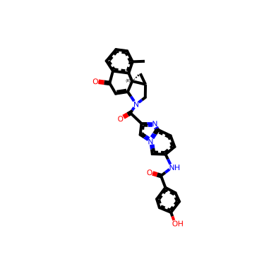 Cc1cccc2c1[C@@]13CC1CN(C(=O)c1cn4cc(NC(=O)c5ccc(O)cc5)ccc4n1)C3=CC2=O